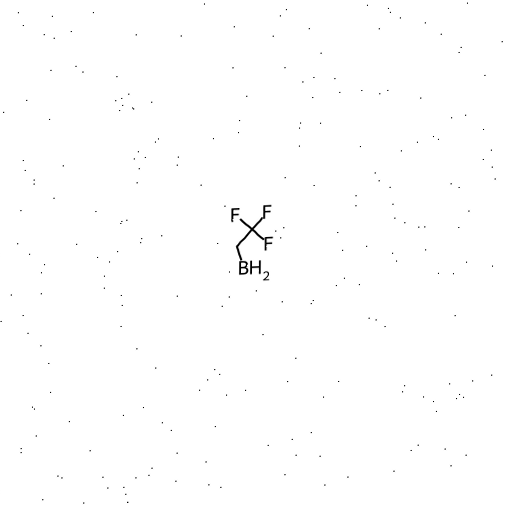 BCC(F)(F)F